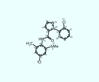 CSc1cc(Cl)cc(C)c1NC(=O)c1ccnn1-c1ncccc1Cl